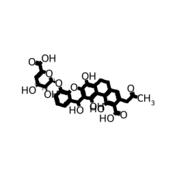 CC(=O)Cc1cc2c(c(O)c1C(=O)O)-c1c(O)c3c(c(O)c1CC2)Oc1c(O[C@@H]2OC(C(=O)O)=C[C@H](O)[C@H]2O)cccc1C3O